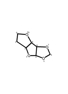 C1CC2OC3OCOC3C2O1